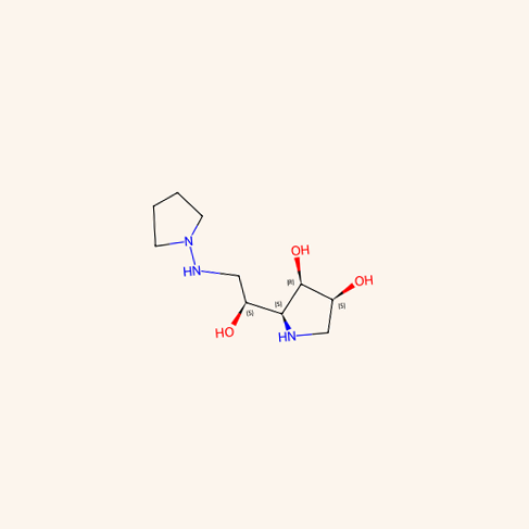 O[C@@H]1[C@H]([C@@H](O)CNN2CCCC2)NC[C@@H]1O